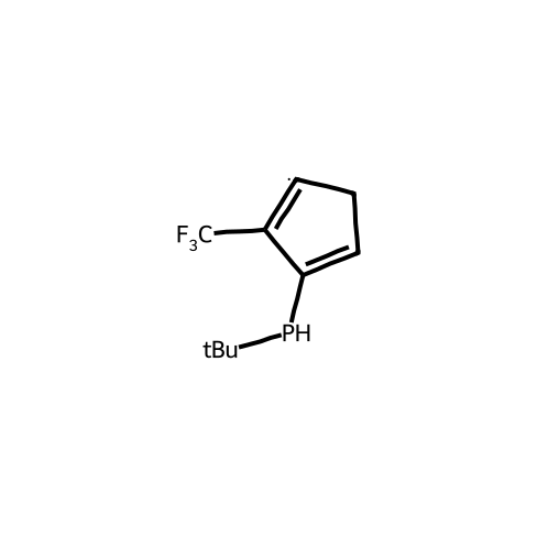 CC(C)(C)PC1=CC[C]=C1C(F)(F)F